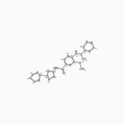 COc1cc(C(=O)Nc2nnc(-c3ccncc3)s2)cnc1NC(C)c1ccccc1